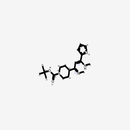 C/N=C(\C=C(/NC)c1ccco1)C1CCN(C(=O)OC(C)(C)C)CC1